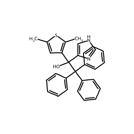 Cc1cc(C(O)(c2c[nH]cn2)C(c2ccccc2)(c2ccccc2)c2ccccc2)c(C)s1